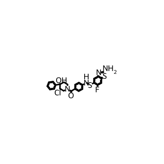 Nc1nc2cc(SNc3ccc(C(=O)N4CCC(O)(c5ccccc5Cl)CC4)cc3)c(F)cc2s1